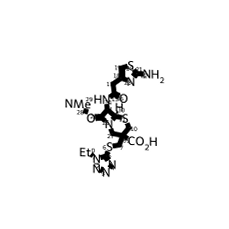 CCn1nnnc1SCC1(C(=O)O)CS[C@@H]2C(NC(=O)Cc3csc(N)n3)C(=O)N2C1.CNC